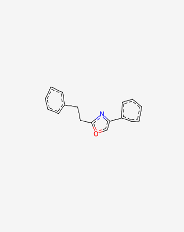 c1ccc(CCc2nc(-c3ccccc3)co2)cc1